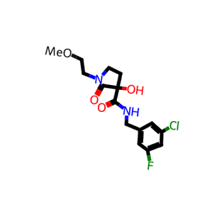 COCCN1CCC(O)(C(=O)NCc2cc(F)cc(Cl)c2)C1=O